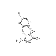 COC(=O)C1(C(=O)O)CC1c1ccc(F)cc1